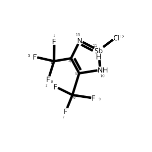 FC(F)(F)C1=C(C(F)(F)F)[NH][SbH]([Cl])=[N]1